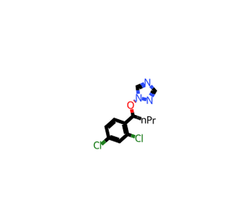 CCCC(On1cncn1)c1ccc(Cl)cc1Cl